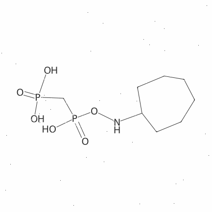 O=P(O)(O)CP(=O)(O)ONC1CCCCCC1